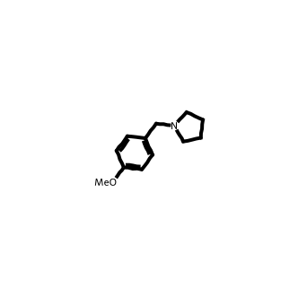 COc1ccc(CN2CCCC2)cc1